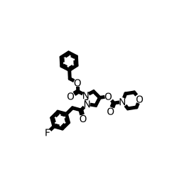 O=C(OC1CN(C(=O)Cc2ccc(F)cc2)N(C(=O)OCc2ccccc2)C1)N1CCOCC1